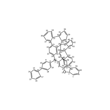 C1=CC2Oc3cc(N(c4ccc(-c5ccccc5)cc4)c4ccc5c(c4)C4(c6ccccc6-c6ccccc6-5)c5ccccc5-c5c4ccc4ccccc54)ccc3C2C=C1